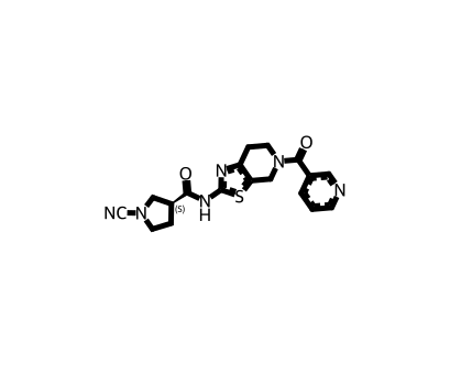 N#CN1CC[C@H](C(=O)Nc2nc3c(s2)CN(C(=O)c2cccnc2)CC3)C1